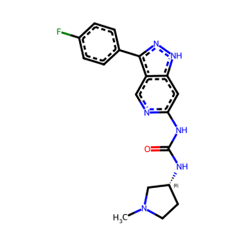 CN1CC[C@@H](NC(=O)Nc2cc3[nH]nc(-c4ccc(F)cc4)c3cn2)C1